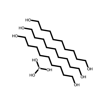 OCCCCCCCCCO.OCCCCCCCCCO.OCCCCCCCCCO.OP(O)O